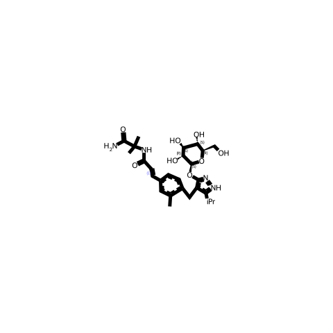 Cc1cc(/C=C/C(=O)NC(C)(C)C(N)=O)ccc1Cc1c(O[C@@H]2O[C@H](CO)[C@@H](O)[C@H](O)[C@H]2O)n[nH]c1C(C)C